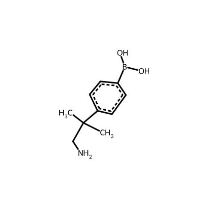 CC(C)(CN)c1ccc(B(O)O)cc1